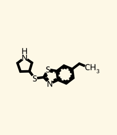 CCc1ccc2nc(SC3CCNC3)sc2c1